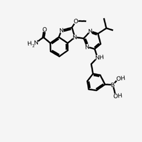 COc1nc2c(C(N)=O)cccc2n1-c1nc(NCc2cccc(B(O)O)c2)cc(C(C)C)n1